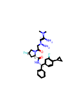 CN(C)/C(N)=C/N(N)CC(=O)N1C[C@H](F)C[C@H]1C(=O)N[C@@H](c1ccccc1)c1ccc(C2CC2)c(F)c1